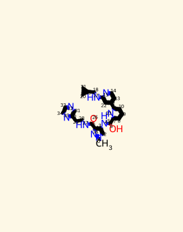 Cn1cc(NC(O)c2cccc(-c3ccnc(NCC4CC4)c3)n2)c(C(=O)NCCc2cnccn2)n1